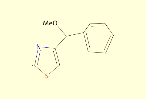 COC(c1ccccc1)c1cs[c]n1